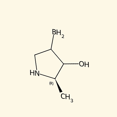 BC1CN[C@H](C)C1O